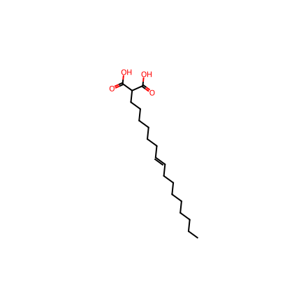 CCCCCCCCC=CCCCCCCC(C(=O)O)C(=O)O